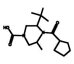 CC1CN(C(=O)O)CC(C(C)(C)C)N1C(=O)C1CCCC1